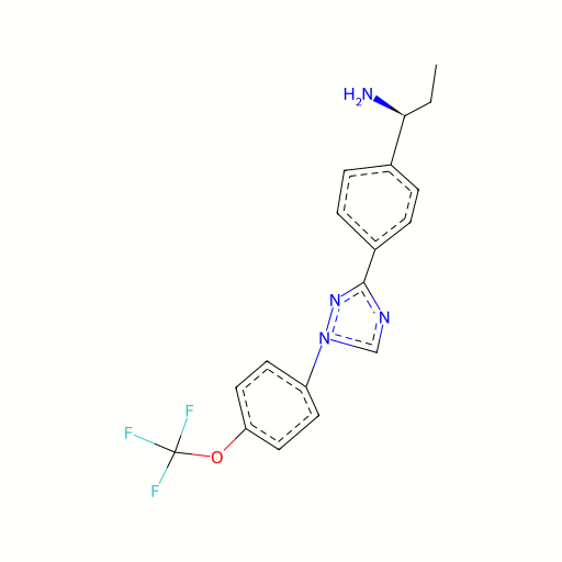 CC[C@H](N)c1ccc(-c2ncn(-c3ccc(OC(F)(F)F)cc3)n2)cc1